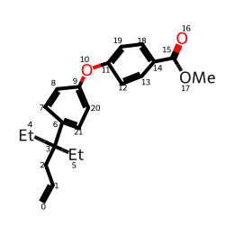 C=CCC(CC)(CC)c1ccc(Oc2ccc(C(=O)OC)cc2)cc1